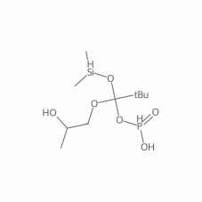 CC(O)COC(O[SiH](C)C)(O[PH](=O)O)C(C)(C)C